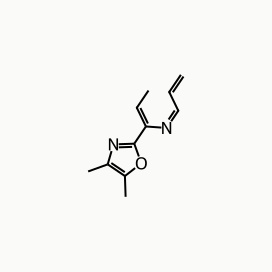 C=C/C=N\C(=C/C)c1nc(C)c(C)o1